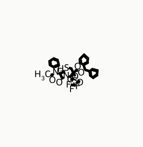 CC(=O)N(c1ccccc1)C1C(=O)N2CC(OS(=O)(=O)C(F)(F)F)(C(=O)OC(c3ccccc3)c3ccccc3)CS[C@H]12